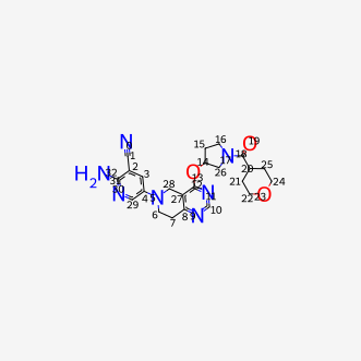 N#Cc1cc(N2CCc3ncnc(OC4CCN(C(=O)C5CCOCC5)C4)c3C2)cnc1N